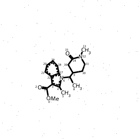 COC(=O)c1c(C)n(C(C)C2CCN(C)C(=O)C2)c2ccccc12